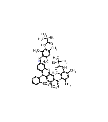 CCC(C)(C)C(=O)Nc1c(C)cc(C)c(/N=c2/ccc3c(-c4ccccc4S(=O)(=O)O)c4cc(S(=O)(=O)O)c(Nc5c(C)cc(C)c(NC(=O)C(C)(C)CC)c5C)cc4oc-3c2)c1C